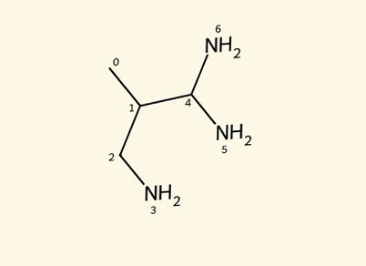 CC(CN)C(N)N